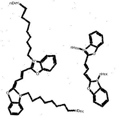 CCCCCCCCCCCCCCCCCCN1C(=CC=Cc2oc3ccccc3[n+]2CCCCCCCCCCCCCCCCCC)Oc2ccccc21.CCCCCCN1C(=CC=Cc2oc3ccccc3[n+]2CCCCCC)Oc2ccccc21